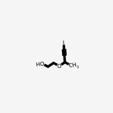 CC(C#CI)OCCO